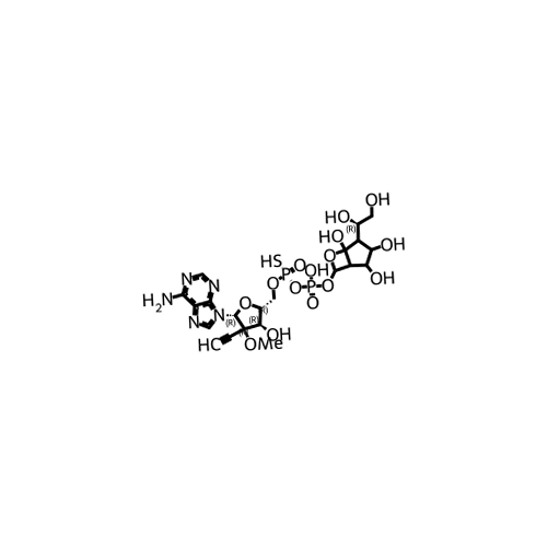 C#C[C@@]1(OC)[C@H](O)[C@@H](COP(=O)(S)OP(=O)(O)OC2OC3(O)C2C(O)C(O)C3[C@@H](O)CO)O[C@H]1n1cnc2c(N)ncnc21